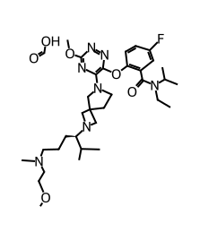 CCN(C(=O)c1cc(F)ccc1Oc1nnc(OC)nc1N1CCC2(C1)CN([C@H](CCCN(C)CCOC)C(C)C)C2)C(C)C.O=CO